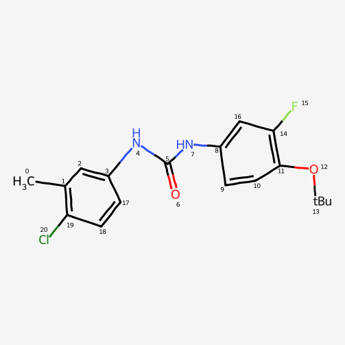 Cc1cc(NC(=O)Nc2ccc(OC(C)(C)C)c(F)c2)ccc1Cl